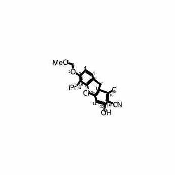 COCOc1ccc(Cc2c(Cl)cc(O)c(C#N)c2Cl)cc1C(C)C